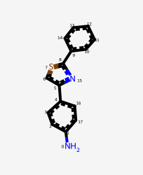 Nc1ccc(-c2csc(-c3ccccc3)n2)cc1